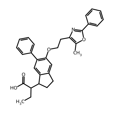 CCC(C(=O)O)C1CCc2cc(OCCc3nc(-c4ccccc4)oc3C)c(-c3ccccc3)cc21